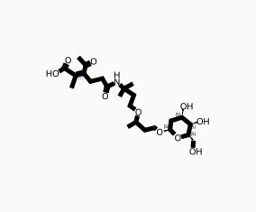 CC(=O)/C(CCC(=O)NC(C)(C)CCOC(C)CCO[C@@H]1C[C@H](O)[C@H](O)[C@H](CO)O1)=C(/C)C(=O)O